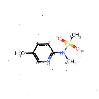 Cc1ccc(N(C)S(C)(=O)=O)nc1